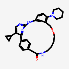 O=C1NCCCCOCc2cc(ccc2N2CCCCC2)Nc2ncc(C3CC3)c(n2)-c2ccc1cc2